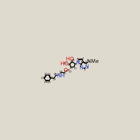 CNc1ncnc2c1ccn2[C@@H]1C[C@H](COCCNCCc2ccccc2)[C@@H](O)[C@H]1O